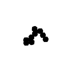 c1ccc(-c2ccc(-c3cccc(-n4c5ccccc5c5cc(-c6ccc7c(c6)c6ccccc6n7-c6cccc7ccccc67)ccc54)c3)cc2)cc1